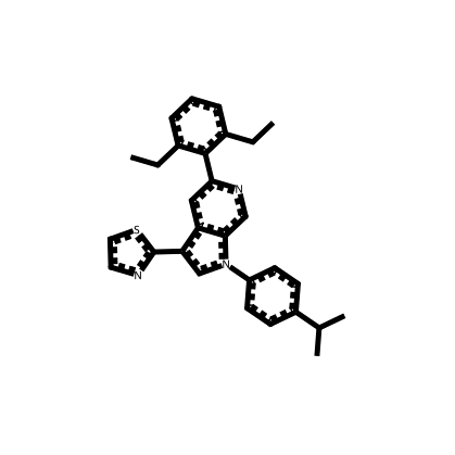 CCc1cccc(CC)c1-c1cc2c(-c3nccs3)cn(-c3ccc(C(C)C)cc3)c2cn1